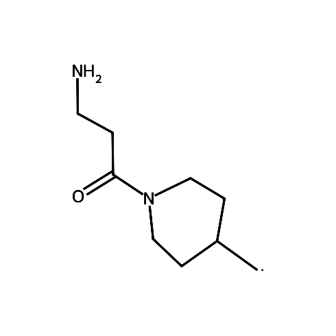 [CH2]C1CCN(C(=O)CCN)CC1